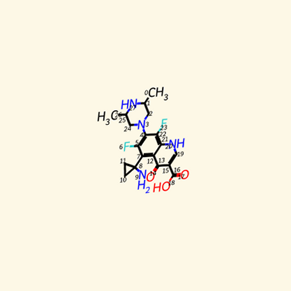 CC1CN(c2c(F)c(C3(N)CC3)c3c(=O)c(C(=O)O)c[nH]c3c2F)CC(C)N1